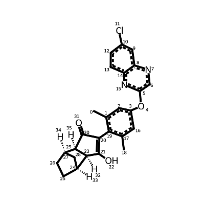 Cc1cc(Oc2cnc3cc(Cl)ccc3n2)cc(C)c1C1=C(O)[C@H]2[C@H]3CC[C@H](C3)[C@H]2C1=O